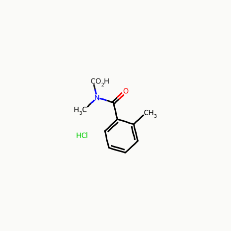 Cc1ccccc1C(=O)N(C)C(=O)O.Cl